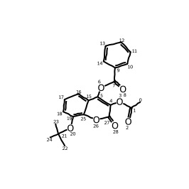 CC(=O)Oc1c(OC(=O)c2ccccc2)c2cccc(OC(C)(C)C)c2oc1=O